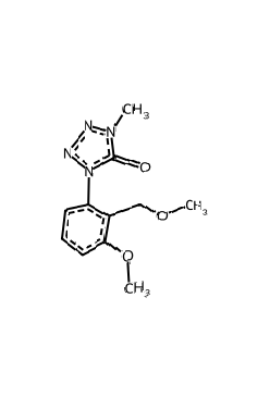 COCc1c(OC)cccc1-n1nnn(C)c1=O